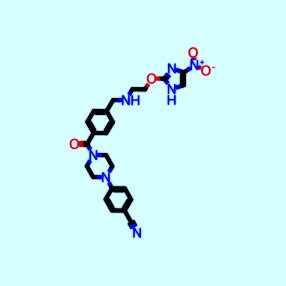 N#Cc1ccc(N2CCN(C(=O)c3ccc(CNCCOc4nc([N+](=O)[O-])c[nH]4)cc3)CC2)cc1